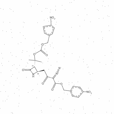 CC(C)(OC(=O)OCc1ccc([N+](=O)[O-])cc1)[C@H]1C(=O)N[C@@H]1CC(=O)C(=[N+]=[N-])C(=O)OCc1ccc([N+](=O)[O-])cc1